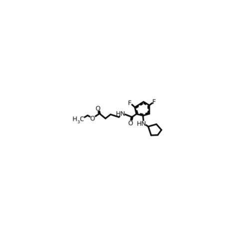 CCOC(=O)CCCNC(=O)c1c(F)cc(F)cc1NC1CCCC1